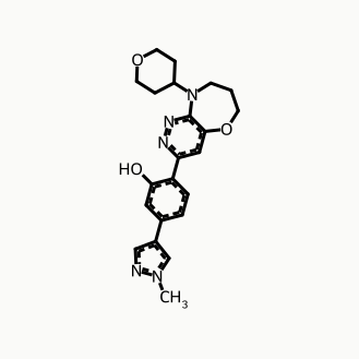 Cn1cc(-c2ccc(-c3cc4c(nn3)N(C3CCOCC3)CCCO4)c(O)c2)cn1